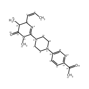 C/C=C\C1N=C(N2CCN(c3ccc(C(C)=O)nc3)CC2)N(C)C(=O)C1C